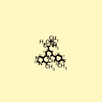 Cc1cc(-c2cc(C(=O)NC(C)(C)C)cc(-c3cncnc3C(C)C)n2)ccc1F